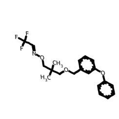 CC(C)(COCc1cccc(Oc2ccccc2)c1)CON=CC(F)(F)F